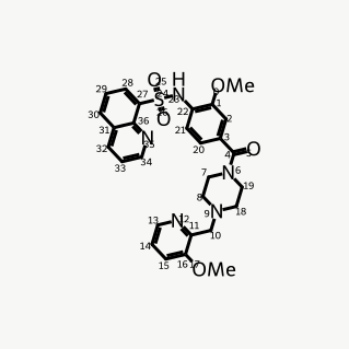 COc1cc(C(=O)N2CCN(Cc3ncccc3OC)CC2)ccc1NS(=O)(=O)c1cccc2cccnc12